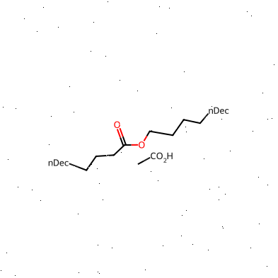 CC(=O)O.CCCCCCCCCCCCCCOC(=O)CCCCCCCCCCCCC